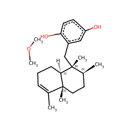 CC1=CCC[C@H]2[C@](C)(Cc3cc(O)ccc3O)[C@@H](C)CC[C@]12C.COC